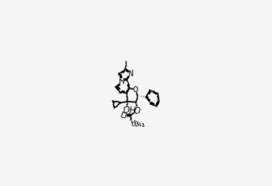 Cc1cn2ccc3c(c2n1)O[C@H](c1ccccc1)[C@@H](OC(=O)C(C)(C)C)[C@]3(O)C1CC1